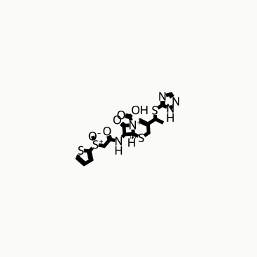 CC(Sc1ncn[nH]1)C1=C[N+]2(C(=O)O)C(=O)C(NC(=O)C[S+]([O-])c3cccs3)[C@@H]2SC1